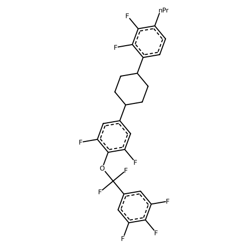 CCCc1ccc(C2CCC(c3cc(F)c(OC(F)(F)c4cc(F)c(F)c(F)c4)c(F)c3)CC2)c(F)c1F